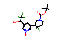 CC(C)(C)OC(=O)N1CCC(F)(F)C(c2cc(C(O)C(F)(F)F)c[n+]([O-])c2)C1